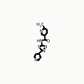 Cc1ccc(C(=O)Nc2nnc(-c3ccncc3)s2)cn1